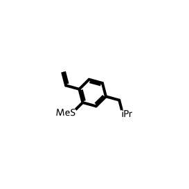 C=Cc1ccc(CC(C)C)cc1SC